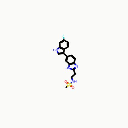 CS(=O)(=O)NCCc1nc2ccc(-c3c[nH]c4cc(F)ccc34)cc2[nH]1